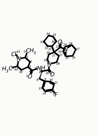 CC1CC(C(=O)N[C@H](Cc2ccc(F)cc2)C(=O)N2CCC(C(=O)N3C4CCC3CC4)(C3CCCCC3)CC2)CC(C)N1Cl